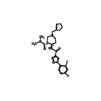 CN(C)C(=O)[C@@H]1CN(CC2=CCCC2)CC[C@H]1NC(=O)c1cc(-c2ccc(F)cc2F)on1